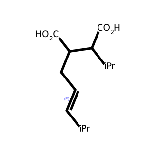 CC(C)/C=C/CC(C(=O)O)C(C(=O)O)C(C)C